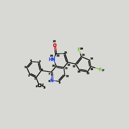 Cc1ccccc1-c1nccc2c(-c3ccc(F)cc3F)cc(=O)[nH]c12